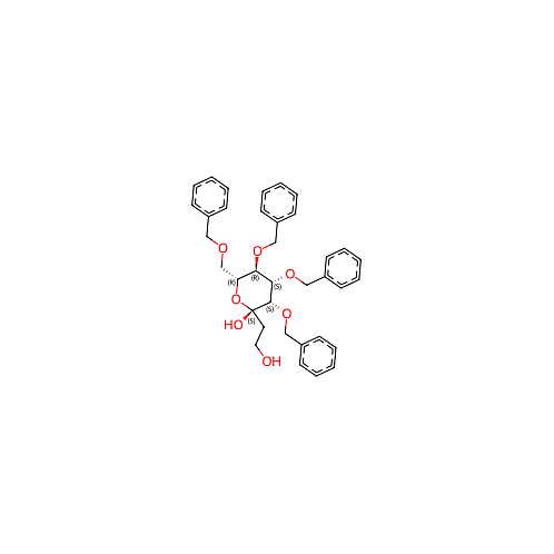 OCC[C@]1(O)O[C@H](COCc2ccccc2)[C@@H](OCc2ccccc2)[C@H](OCc2ccccc2)[C@@H]1OCc1ccccc1